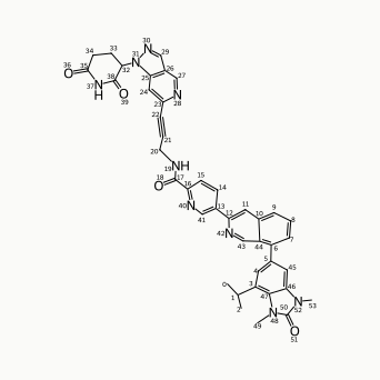 CC(C)c1cc(-c2cccc3cc(-c4ccc(C(=O)NCC#Cc5cc6c(cn5)cnn6C5CCC(=O)NC5=O)nc4)ncc23)cc2c1n(C)c(=O)n2C